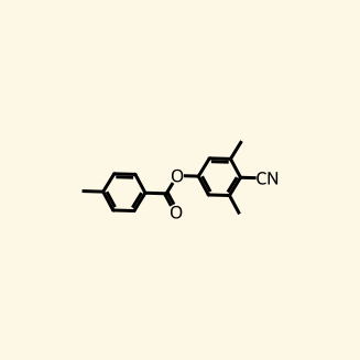 Cc1ccc(C(=O)Oc2cc(C)c(C#N)c(C)c2)cc1